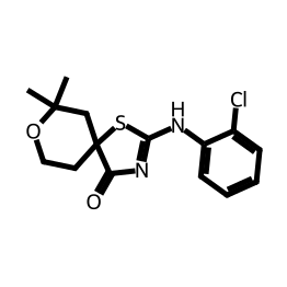 CC1(C)CC2(CCO1)SC(Nc1ccccc1Cl)=NC2=O